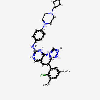 COc1cc(OC)c(Cl)c(-c2cc3cnc(Nc4ccc(N5CCN(C6CCC6)CC5)cc4)nc3n3cnnc23)c1